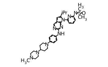 CC(C)c1cc2cnc(Nc3ccc(N4CCC(N5CCN(C)CC5)CC4)cc3)nc2n1-c1cccc(N=S(C)(C)=O)n1